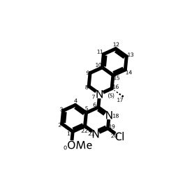 COc1cccc2c(N3CCc4ccccc4[C@@H]3C)nc(Cl)nc12